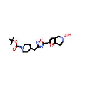 CC(C)(C)OC(=O)N1CCC(Cc2noc(-c3cc4c(o3)C=CN(O)C4)n2)CC1